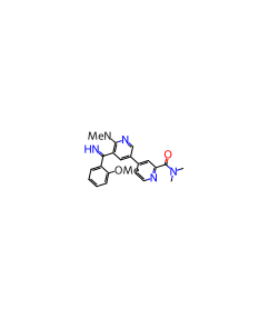 CNc1ncc(-c2ccnc(C(=O)N(C)C)c2)cc1C(=N)c1ccccc1OC